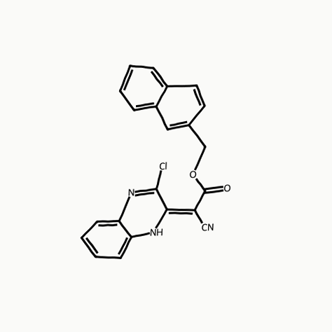 N#CC(C(=O)OCc1ccc2ccccc2c1)=C1Nc2ccccc2N=C1Cl